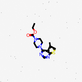 CCOC(=O)N1CCN(c2ncnc3scc(C)c23)CC1